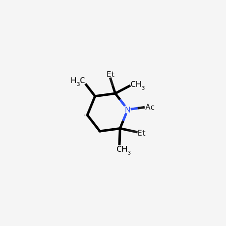 CCC1(C)C[CH]C(C)C(C)(CC)N1C(C)=O